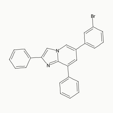 Brc1cccc(-c2cc(-c3ccccc3)c3nc(-c4ccccc4)cn3c2)c1